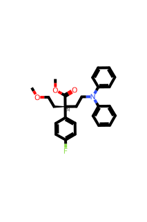 COCC[C@](CCN(c1ccccc1)c1ccccc1)(C(=O)OC)c1ccc(F)cc1